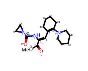 COC(=O)/C(=C/C1=C(N2CCCCC2)CCCC1)NC(=O)N1CC1